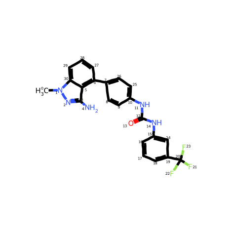 Cn1nc(N)c2c(-c3ccc(NC(=O)Nc4cccc(C(F)(F)F)c4)cc3)cccc21